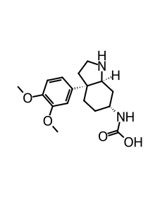 COc1ccc([C@]23CCN[C@H]2C[C@H](NC(=O)O)CC3)cc1OC